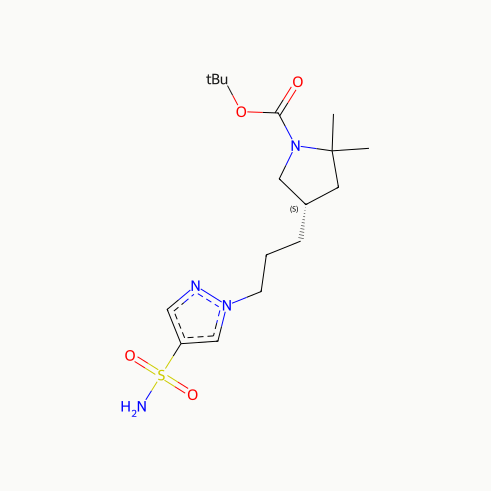 CC(C)(C)OC(=O)N1C[C@@H](CCCn2cc(S(N)(=O)=O)cn2)CC1(C)C